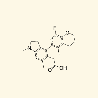 Cc1cc2c(c(-c3cc(F)c4c(c3C)CCCO4)c1CC(=O)O)CCN2C